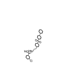 O=S(=O)(c1ccc(CCCNC[C@H](O)c2cccc(Cl)c2)cc1)c1ccc(-c2ccccc2)cc1